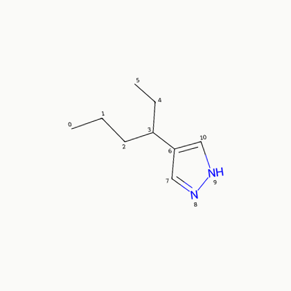 CCCC(CC)c1cn[nH]c1